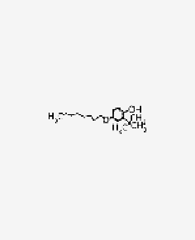 CCCCCCCCOc1ccc(O)c(C(C)(C)C)c1